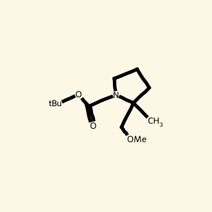 COCC1(C)CCCN1C(=O)OC(C)(C)C